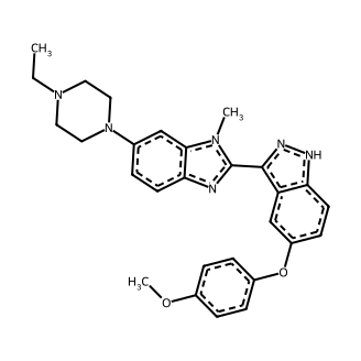 CCN1CCN(c2ccc3nc(-c4n[nH]c5ccc(Oc6ccc(OC)cc6)cc45)n(C)c3c2)CC1